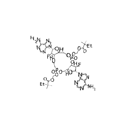 CCC(C)(C)C(=O)OCOP1(=O)CO[C@H]2[C@@H](F)[C@H](n3cnc4c(N)ncnc43)O[C@@H]2COP(=O)(OCOC(=O)C(C)(C)CC)O[C@H]2[C@@H](F)[C@H](n3cnc4c(N)ncnc43)O[C@@H]2CO1